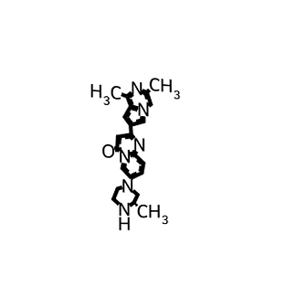 Cc1cn2cc(-c3cc(=O)n4cc(N5CCN[C@H](C)C5)ccc4n3)cc2c(C)n1